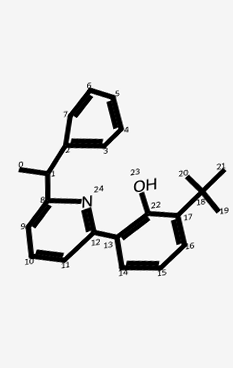 CC(c1ccccc1)c1cccc(-c2cccc(C(C)(C)C)c2O)n1